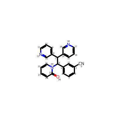 N#Cc1cccc(C(C(c2cccnc2)c2cccnc2)n2ccccc2=O)c1